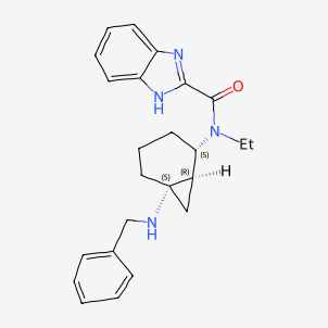 CCN(C(=O)c1nc2ccccc2[nH]1)[C@H]1CCC[C@]2(NCc3ccccc3)C[C@H]12